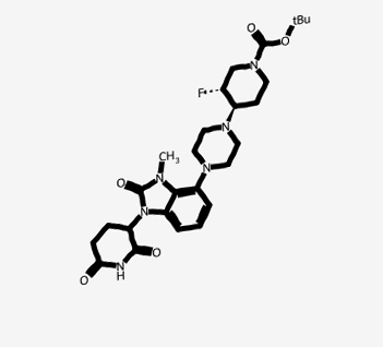 Cn1c(=O)n(C2CCC(=O)NC2=O)c2cccc(N3CCN([C@@H]4CCN(C(=O)OC(C)(C)C)C[C@H]4F)CC3)c21